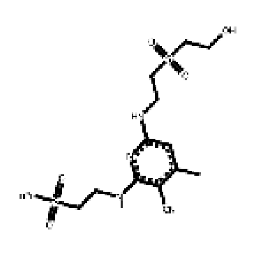 CCCS(=O)(=O)CCNc1nc(NCCS(=O)(=O)CCO)cc(C)c1C#N